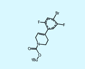 CC(C)(C)OC(=O)N1CC=C(c2cc(F)c(Br)cc2F)CC1